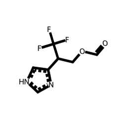 O=COCC(c1c[nH]cn1)C(F)(F)F